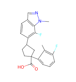 Cc1c(F)cccc1C1(C(=O)O)CCC(c2ccc3cnn(C)c3c2F)C1